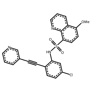 COc1ccc(S(=O)(=O)Nc2cc(Cl)ccc2C#Cc2cccnc2)c2ncccc12